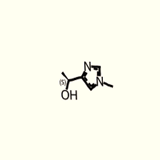 C[C@H](O)c1cn(C)cn1